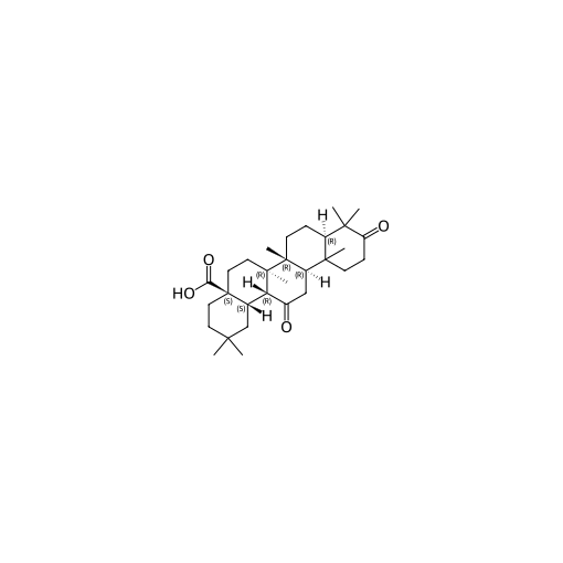 CC1(C)CC[C@]2(C(=O)O)CC[C@]3(C)[C@H](C(=O)C[C@@H]4C5(C)CCC(=O)C(C)(C)[C@@H]5CC[C@]43C)[C@@H]2C1